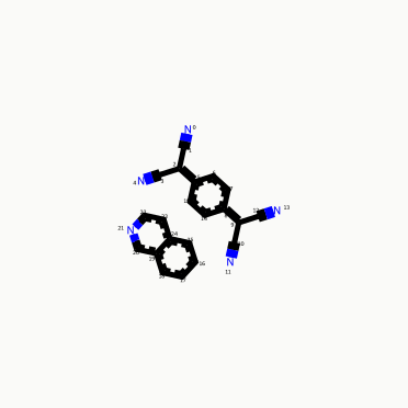 N#CC(C#N)=c1ccc(=C(C#N)C#N)cc1.c1ccc2cnccc2c1